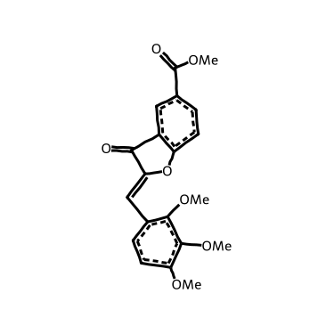 COC(=O)c1ccc2c(c1)C(=O)C(=Cc1ccc(OC)c(OC)c1OC)O2